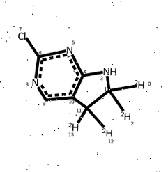 [2H]C1([2H])Nc2nc(Cl)ncc2C1([2H])[2H]